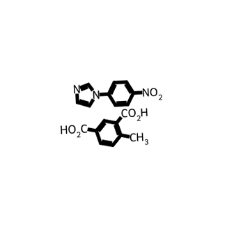 Cc1ccc(C(=O)O)cc1C(=O)O.O=[N+]([O-])c1ccc(-n2ccnc2)cc1